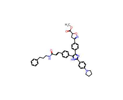 COC(=O)C1CC(c2ccc(-c3nc(-c4ccc(N5CCCC5)cc4)[nH]c3-c3ccc(/C=C/C(=O)NCCCc4ccccc4)cc3)cc2)=NO1